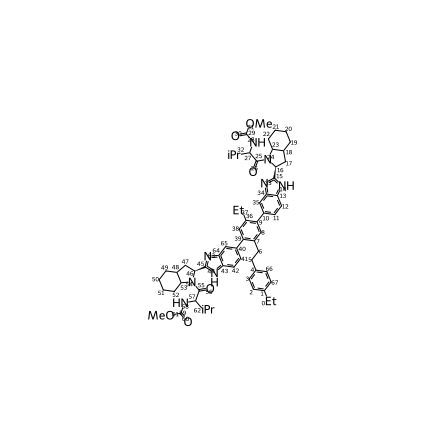 CCc1ccc(CCc2cc(-c3ccc4[nH]c([C@@H]5CC6CCCCC6N5C(=O)C(NC(=O)OC)C(C)C)nc4c3)c(CC)cc2-c2ccc3[nH]c([C@@H]4CC5CCCCC5N4C(=O)C(NC(=O)OC)C(C)C)nc3c2)cc1